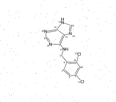 Clc1ccc(CNc2ncnc3[nH]cnc23)c(Cl)c1